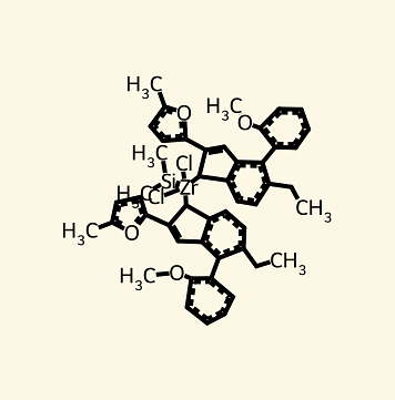 CCc1ccc2c(c1-c1ccccc1OC)C=C(c1ccc(C)o1)[CH]2[Zr]([Cl])([Cl])([CH]1C(c2ccc(C)o2)=Cc2c1ccc(CC)c2-c1ccccc1OC)=[Si](C)C